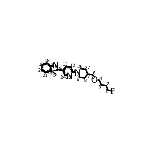 FCCCCOCC1CCN(c2ccc(-c3nc4ccccc4s3)cn2)CC1